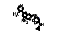 Cc1ccncc1-c1cc(N)c2cnc(NC(=O)/C=C\C(=O)NC3CC3)cc2c1